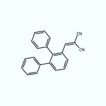 N#CC(C#N)=Cc1cccc(-c2ccccc2)c1-c1ccccc1